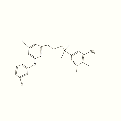 Cc1cc(C(C)(C)CCCc2cc(F)cc(Oc3cccc(Cl)c3)c2)cc([N+](=O)[O-])c1C